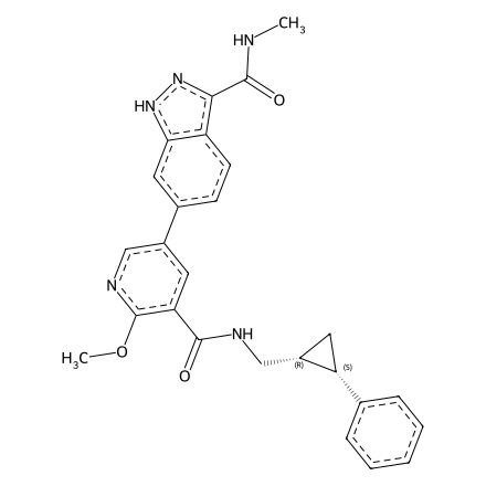 CNC(=O)c1n[nH]c2cc(-c3cnc(OC)c(C(=O)NC[C@@H]4C[C@@H]4c4ccccc4)c3)ccc12